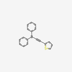 C(#Cc1cccs1)B(c1ccccc1)c1ccccc1